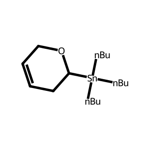 CCC[CH2][Sn]([CH2]CCC)([CH2]CCC)[CH]1CC=CCO1